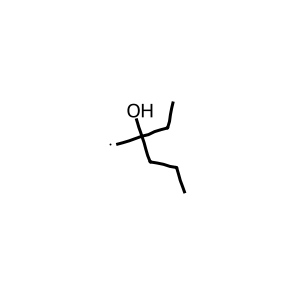 [CH2]C(O)(CC)CCC